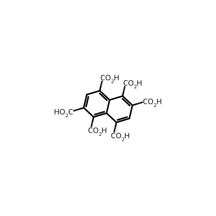 O=C(O)c1cc(C(=O)O)c2c(C(=O)O)c(C(=O)O)cc(C(=O)O)c2c1C(=O)O